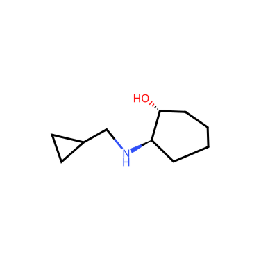 O[C@@H]1CCCC[C@H]1NCC1CC1